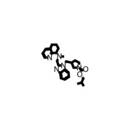 CC(C)COC(=O)N1CCC(Cn2c(CN(C)C3CCCc4cccnc43)nc3ccccc32)C1